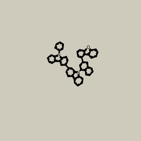 c1ccc(-n2c3ccccc3c3cc(-c4ccc5c6ccccc6n(-c6cc(-c7cccc8oc9ccccc9c78)cc7ccccc67)c5c4)ccc32)cc1